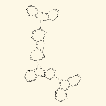 c1ccc2c(c1)c1ccccc1n2-c1ccc2c(c1)oc1cc(-n3c4ccccc4c4cc(-n5c6ccccc6c6ccccc65)ccc43)ccc12